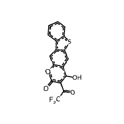 O=C(c1c(O)c2cc3sc4ccccc4c3cc2oc1=O)C(F)(F)F